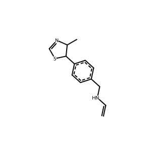 C=CNCc1ccc(C2SC=NC2C)cc1